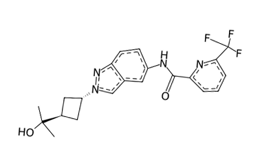 CC(C)(O)[C@H]1C[C@H](n2cc3cc(NC(=O)c4cccc(C(F)(F)F)n4)ccc3n2)C1